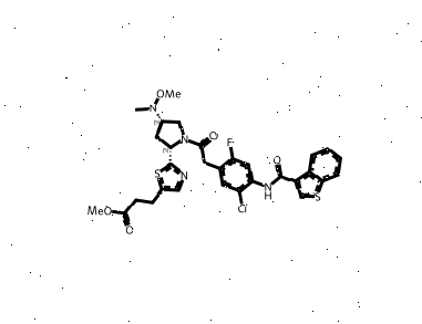 COC(=O)CCc1cnc([C@@H]2C[C@H](N(C)OC)CN2C(=O)Cc2cc(Cl)c(NC(=O)c3csc4ccccc34)cc2F)s1